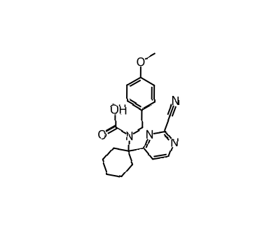 COc1ccc(CN(C(=O)O)C2(c3ccnc(C#N)n3)CCCCC2)cc1